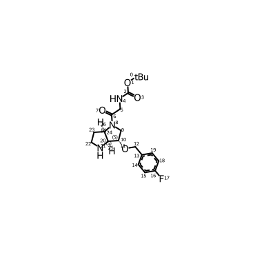 CC(C)(C)OC(=O)NCC(=O)N1C[C@H](OCc2ccc(F)cc2)[C@H]2NCC[C@H]21